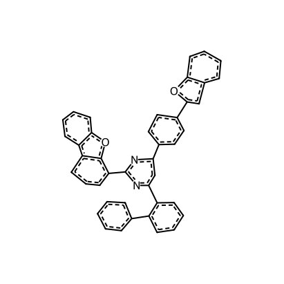 c1ccc(-c2ccccc2-c2cc(-c3ccc(-c4cc5ccccc5o4)cc3)nc(-c3cccc4c3oc3ccccc34)n2)cc1